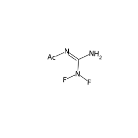 CC(=O)N=C(N)N(F)F